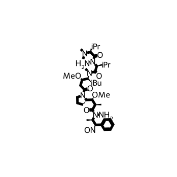 CC[C@H](C)[C@@H]([C@@H](CC(=O)N1CCC[C@H]1[C@H](OC)[C@@H](C)C(=O)N(N)[C@H](C)[C@@H](N=O)c1ccccc1)OC)N(C)C(=O)[C@H](C(C)C)N(N)C(=O)[C@H](C(C)C)N(C)C